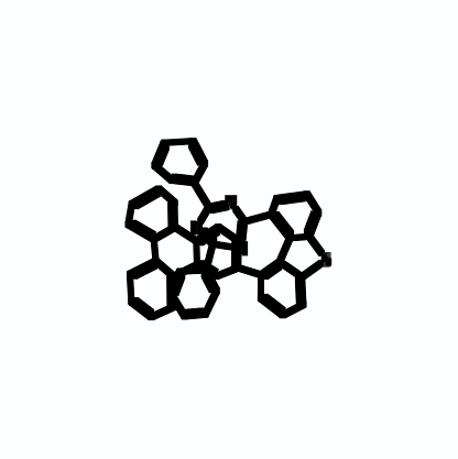 c1ccc(-c2nc(-c3ccccc3)nc(-c3cccc4sc5cccc(-c6ccc7c8ccccc8c8ccccc8c7c6)c5c34)n2)cc1